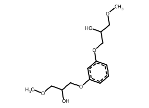 COCC(O)COc1cccc(OCC(O)COC)c1